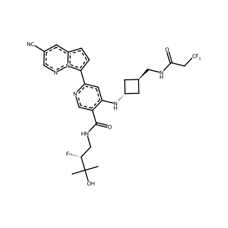 CC(C)(O)[C@H](F)CNC(=O)c1cnc(-c2ccc3cc(C#N)cnn23)cc1N[C@H]1C[C@H](CNC(=O)CC(F)(F)F)C1